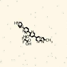 Cc1cn2cc(-c3cnc(-c4ccc(N5CC6CC5CN6)nn4)c(O)c3)cnc2n1.O=C(O)C(F)(F)F